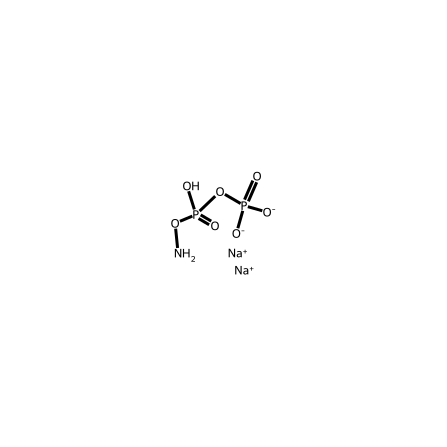 NOP(=O)(O)OP(=O)([O-])[O-].[Na+].[Na+]